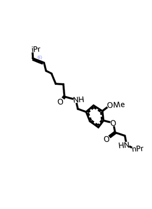 CCCNCC(=O)Oc1ccc(CNC(=O)CCCC/C=C/C(C)C)cc1OC